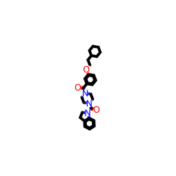 O=C(c1cccc(OCCC2CCCCC2)c1)N1CCN(C(=O)N2CCc3ccccc32)CC1